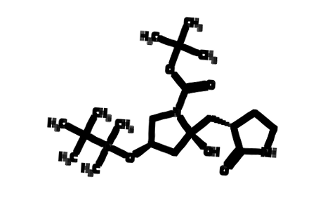 CC(C)(C)OC(=O)N1C[C@H](O[Si](C)(C)C(C)(C)C)C[C@@]1(O)C[C@@H]1CCNC1=O